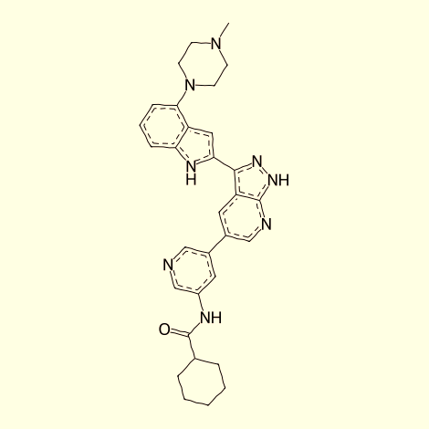 CN1CCN(c2cccc3[nH]c(-c4n[nH]c5ncc(-c6cncc(NC(=O)C7CCCCC7)c6)cc45)cc23)CC1